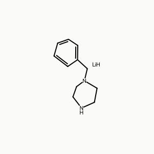 [LiH].c1ccc(CN2CCNCC2)cc1